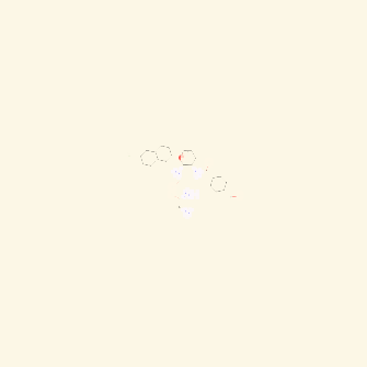 COc1ccc2cc(Br)ccc2c1CN1C(=O)C(NC(=O)[C@H](C)N(C)C)CN(C(=O)c2ccc(C(C)=O)cc2)c2ccccc21